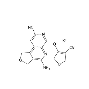 N#CC1=C([O-])COC1.N#Cc1cc2c3c(c(N)nc2cn1)COC3.[K+]